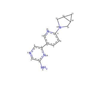 Nc1cncc(-c2ccc(N3CC4CC4C3)nc2)n1